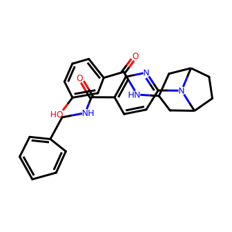 O=C(NCc1ccccc1)c1ccc(N2C3CCC2CC(NC(=O)c2cccc(O)c2)C3)nc1